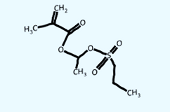 C=C(C)C(=O)OC(C)OS(=O)(=O)CCC